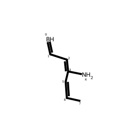 B=C/C=C(N)\C=C/C